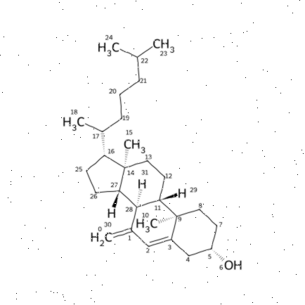 C=C1C=C2C[C@@H](O)CC[C@]2(C)[C@H]2CC[C@]3(C)[C@@H](C(C)CCCC(C)C)CC[C@H]3[C@H]12